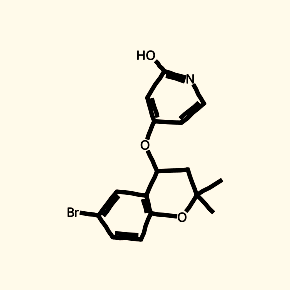 CC1(C)CC(Oc2ccnc(O)c2)c2cc(Br)ccc2O1